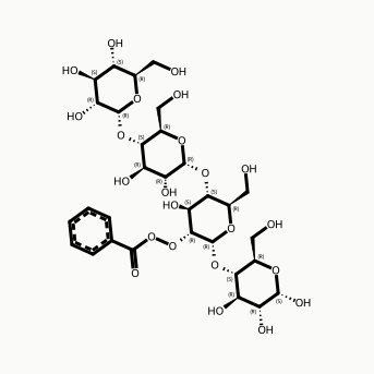 O=C(OO[C@H]1[C@@H](O[C@H]2[C@H](O)[C@@H](O)[C@@H](O)O[C@@H]2CO)O[C@H](CO)[C@@H](O[C@H]2O[C@H](CO)[C@@H](O[C@H]3O[C@H](CO)[C@@H](O)[C@H](O)[C@H]3O)[C@H](O)[C@H]2O)[C@@H]1O)c1ccccc1